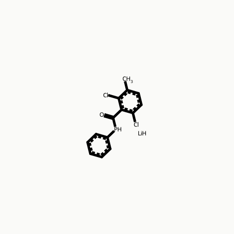 Cc1ccc(Cl)c(C(=O)Pc2ccccc2)c1Cl.[LiH]